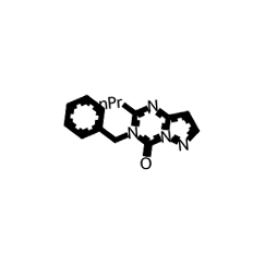 CCCc1nc2ccnn2c(=O)n1Cc1ccccc1